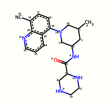 CC1CC(NC(=O)C2CNCCN2)CN(c2ccc(C#N)c3ncccc23)C1